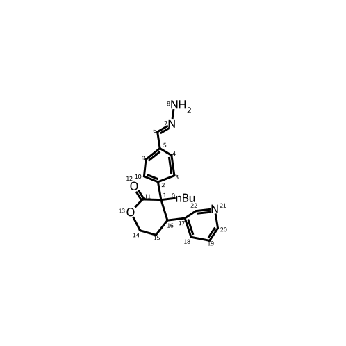 CCCCC1(c2ccc(C=NN)cc2)C(=O)OCCC1c1cccnc1